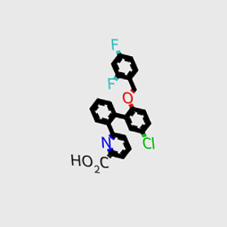 O=C(O)c1cccc(-c2ccccc2-c2cc(Cl)ccc2OCc2ccc(F)cc2F)n1